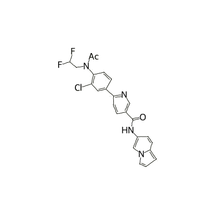 CC(=O)N(CC(F)F)c1ccc(-c2ccc(C(=O)Nc3ccc4cccn4c3)cn2)cc1Cl